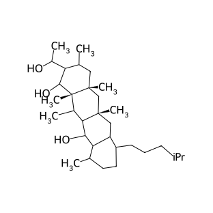 CC(C)CCCC1CCC(C)C2C(O)C3C(C)[C@]4(C)C(O)C(C(C)O)C(C)C[C@]4(C)C[C@]3(C)CC12